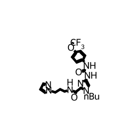 CCCCn1cc(NC(=O)Nc2ccc(OC(F)(F)F)cc2)nc1C(=O)NCCCn1cccn1